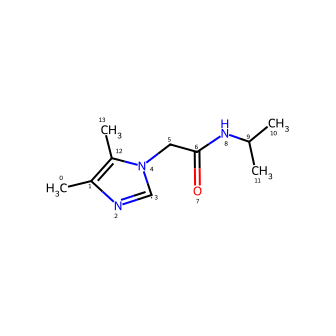 Cc1n[c]n(CC(=O)NC(C)C)c1C